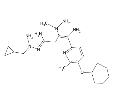 Cc1nc(/C(N)=C(\C/C(N)=N/N(N)CC2CC2)N(C)N)ccc1OC1CCCCC1